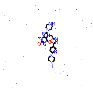 Cn1c(=O)c2c(nc(N3CCNCC3)n2Cc2nnc(-c3ccc(N4CCNCC4)nc3)o2)n(C)c1=O